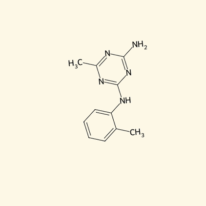 Cc1nc(N)nc(Nc2ccccc2C)n1